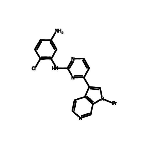 CC(C)n1cc(-c2ccnc(Nc3cc(N)ccc3Cl)n2)c2ccncc21